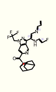 C=C/C=N/C=C(\N/C=C/F)c1nn(CC(F)(F)F)c2cc(C(=O)N3C4CC5CC(C4)CC3C5)ncc12